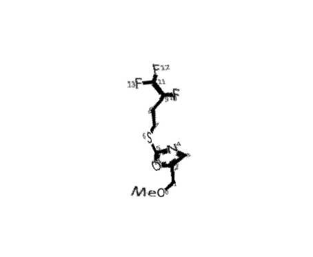 COCc1cnc(SCCC(F)=C(F)F)o1